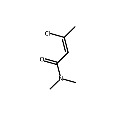 C/C(Cl)=C/C(=O)N(C)C